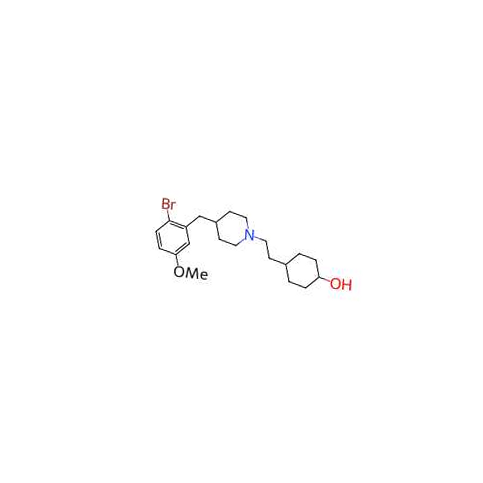 COc1ccc(Br)c(CC2CCN(CCC3CCC(O)CC3)CC2)c1